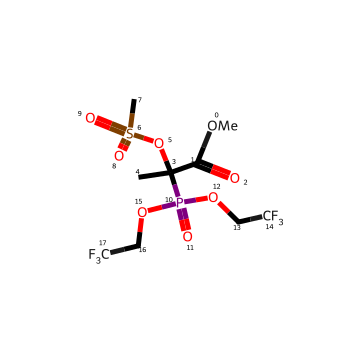 COC(=O)C(C)(OS(C)(=O)=O)P(=O)(OCC(F)(F)F)OCC(F)(F)F